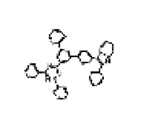 c1ccc(-c2nc(-c3ccccc3)nc(-c3cc(-c4ccc(-c5c(-c6ccccc6)nc6ccccn56)cc4)cc(-c4ccccn4)c3)n2)cc1